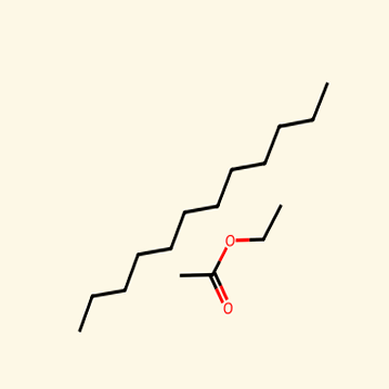 CCCCCCCCCCCC.CCOC(C)=O